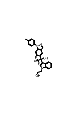 Cc1ccc(-n2ncc3cc(C(O)(c4cn(CCO)c5ccccc45)C(F)(F)F)ccc32)cc1